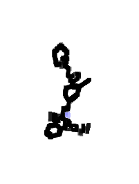 Cc1cc(/C=C/C(=O)Nc2ccccc2C(=O)O)ccc1OCCN1CCCC1